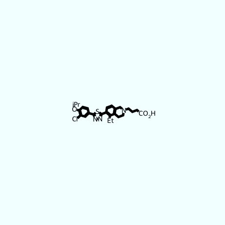 CCc1c(-c2nnc(-c3ccc(OC(C)C)c(Cl)c3)s2)ccc2c1CCN(CCCC(=O)O)C2